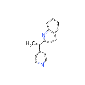 C=C(c1ccncc1)c1ccc2ccccc2n1